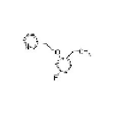 CCc1ccc(F)cc1OCCc1cccnc1